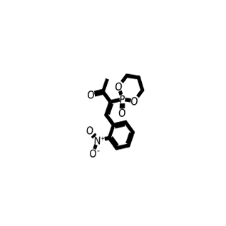 CC(=O)C(=Cc1ccccc1[N+](=O)[O-])P1(=O)OCCCO1